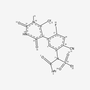 CCCC(=O)N(c1cc(-c2c(C(F)(F)F)n(C)c(=O)[nH]c2=O)c(F)cc1C#N)S(=O)(=O)CC